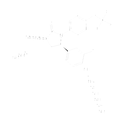 N.N.N.N.N.N.N.N.N.N.N.[N-]=[N+]=C1C[C@H](c2cccc(F)c2)N(c2ccc(OC(F)(F)F)cc2)C1=O